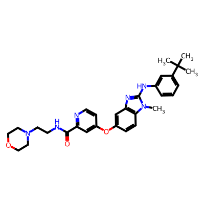 Cn1c(Nc2cccc(C(C)(C)C)c2)nc2cc(Oc3ccnc(C(=O)NCCN4CCOCC4)c3)ccc21